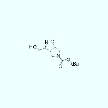 CC(C)(C)OC(=O)N1CC2ON=C(CO)C2C1